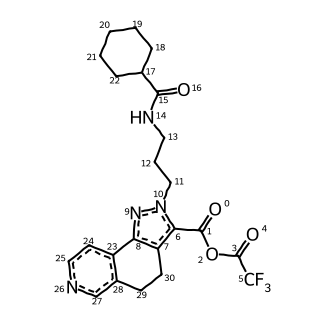 O=C(OC(=O)C(F)(F)F)c1c2c(nn1CCCNC(=O)C1CCCCC1)-c1ccncc1CC2